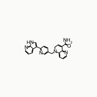 NC(=O)C1=CCN(Cc2ccc(-c3c[nH]c4ncccc34)nc2)c2cccnc21